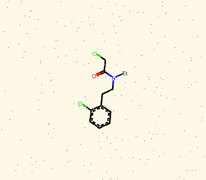 CCN(CCc1ccccc1Cl)C(=O)CCl